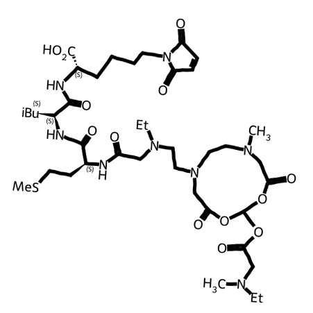 CC[C@H](C)[C@H](NC(=O)[C@H](CCSC)NC(=O)CN(CC)CCN1CCN(C)CC(=O)OC(OC(=O)CN(C)CC)OC(=O)C1)C(=O)N[C@@H](CCCCN1C(=O)C=CC1=O)C(=O)O